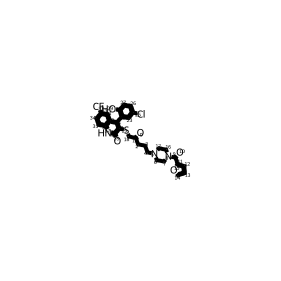 O=C(CCCN1CCN(C(=O)c2ccco2)CC1)CSc1c(-c2cc(Cl)ccc2O)c2cc(C(F)(F)F)ccc2[nH]c1=O